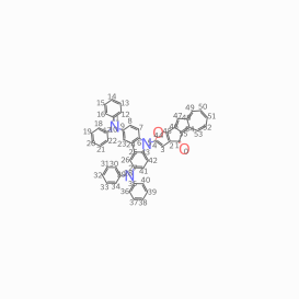 O=C1c2cc(-n3c4ccc(N(c5ccccc5)c5ccccc5)cc4c4cc(N(c5ccccc5)c5ccccc5)ccc43)oc2-c2cc3cccccc-3c21